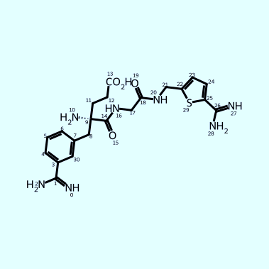 N=C(N)c1cccc(C[C@@](N)(CCC(=O)O)C(=O)NCC(=O)NCc2ccc(C(=N)N)s2)c1